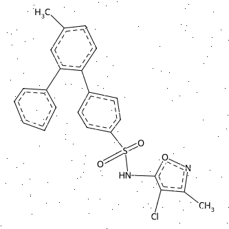 Cc1ccc(-c2ccc(S(=O)(=O)Nc3onc(C)c3Cl)cc2)c(-c2ccccc2)c1